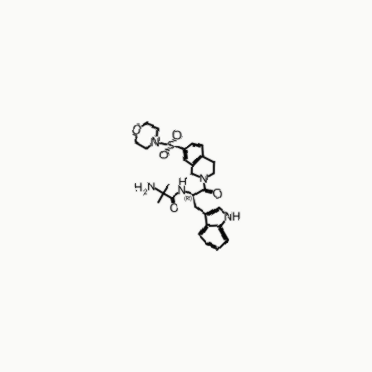 CC(C)(N)C(=O)N[C@H](Cc1c[nH]c2ccccc12)C(=O)N1CCc2ccc(S(=O)(=O)N3CCOCC3)cc2C1